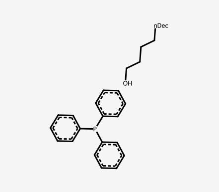 CCCCCCCCCCCCCCO.c1ccc(P(c2ccccc2)c2ccccc2)cc1